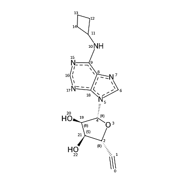 C#C[C@H]1O[C@@H](n2cnc3c(NC4CCC4)ncnc32)[C@H](O)[C@@H]1O